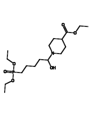 CCOC(=O)C1CCN(C(O)CCCCP(=O)(OCC)OCC)CC1